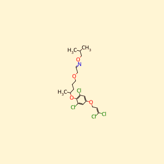 CC(C)CON=CCOCCCC(C)Oc1c(Cl)cc(OCC=C(Cl)Cl)cc1Cl